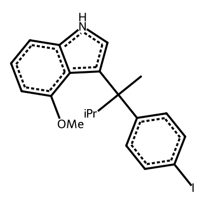 COc1cccc2[nH]cc(C(C)(c3ccc(I)cc3)C(C)C)c12